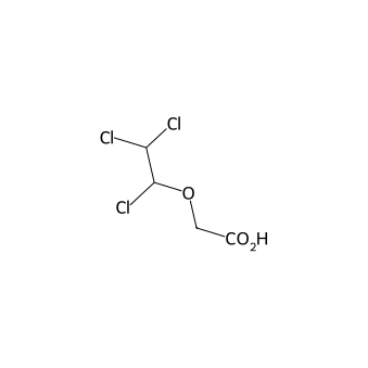 O=C(O)COC(Cl)C(Cl)Cl